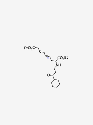 CCOC(=O)CSC/C=C/CC(NCCC(=O)C1CCCCC1)C(=O)OCC